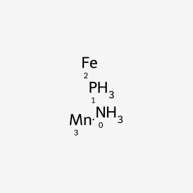 N.P.[Fe].[Mn]